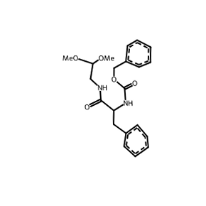 COC(CNC(=O)C(Cc1ccccc1)NC(=O)OCc1ccccc1)OC